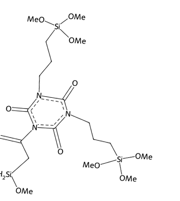 C=C(C[SiH2]OC)n1c(=O)n(CCC[Si](OC)(OC)OC)c(=O)n(CCC[Si](OC)(OC)OC)c1=O